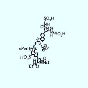 CCCCCN1/C(=C/C=C/C2=[N+](CCCS(=O)(=O)[O-])c3ccc4cc(-c5cc(C(=O)NCCS(=O)(=O)O)nc(C(=O)NCCS(=O)(=O)O)c5)ccc4c3C2(C)C)C(C)(C)c2c1cc(S(=O)(=O)O)c1cc(-c3cc(C(=O)NCC)nc(C(=O)NCC)c3)ccc21